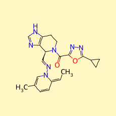 C/C=C1/C=CC(C)=CN1/N=C/[C@H]1c2nc[nH]c2CCN1C(=O)c1nnc(C2CC2)o1